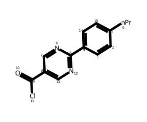 CCCc1ccc(-c2ncc(C(=O)Cl)cn2)cc1